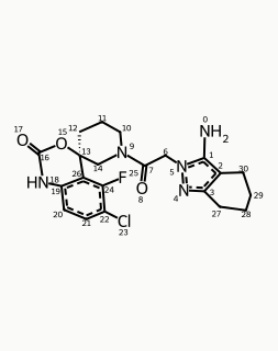 Nc1c2c(nn1CC(=O)N1CCC[C@@]3(C1)OC(=O)Nc1ccc(Cl)c(F)c13)CCCC2